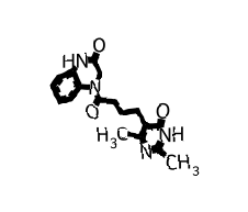 Cc1nc(C)c(CCCC(=O)N2CC(=O)Nc3ccccc32)c(=O)[nH]1